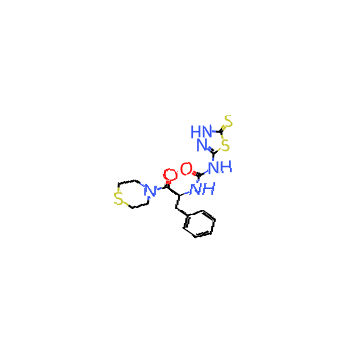 O=C(Nc1n[nH]c(=S)s1)NC(Cc1ccccc1)C(=O)N1CCSCC1